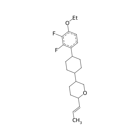 C/C=C/C1CCC(C2CCC(c3ccc(OCC)c(F)c3F)CC2)CO1